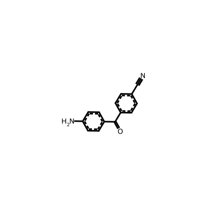 N#Cc1ccc(C(=O)c2ccc(N)cc2)cc1